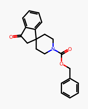 O=C1CC2(CCN(C(=O)OCc3ccccc3)CC2)c2ccccc21